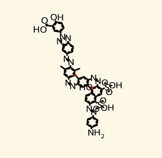 Cc1cc(/N=N\c2c(S(=O)(=O)O)cc3c(S(=O)(=O)O)c(N=Nc4ccc(N)cc4)ccc3c2O)c(C)cc1/N=N\c1cc(C)c(N=Nc2ccc3nn(-c4ccc(O)c(C(=O)O)c4)nc3c2)c(C)c1